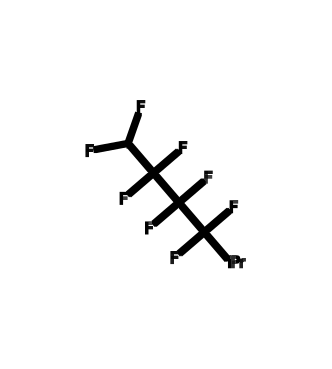 [CH2]C(C)C(F)(F)C(F)(F)C(F)(F)[C](F)F